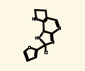 ClC1(c2ccco2)N=C2N=CC3=C(NCC3)N2N1